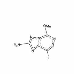 COc1ncc(I)c2nc(N)nn12